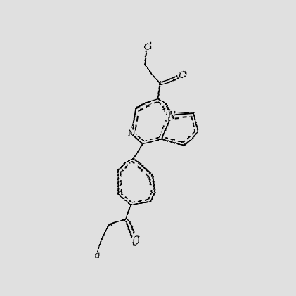 O=C(CCl)c1ccc(-c2ncc(C(=O)CCl)n3cccc23)cc1